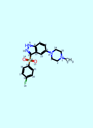 CN1CCN(c2ccc3[nH]nc(S(=O)(=O)c4ccc(F)cc4)c3c2)CC1